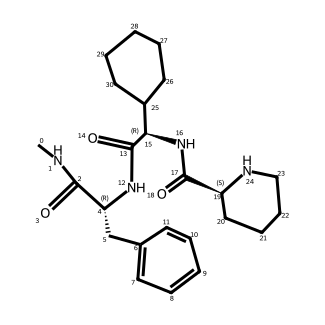 CNC(=O)[C@@H](Cc1ccccc1)NC(=O)[C@H](NC(=O)[C@@H]1CCCCN1)C1CCCCC1